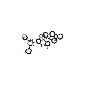 Cc1cc(-c2nc(-c3ccccc3)nc(-c3ccccc3)n2)cc(C)c1N1c2ccccc2C(c2ccccc2)(c2cccc3c2sc2ccccc23)c2ccccc21